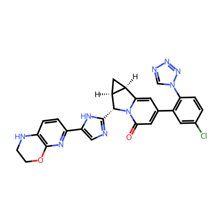 O=c1cc(-c2cc(Cl)ccc2-n2cnnn2)cc2n1[C@H](c1ncc(-c3ccc4c(n3)OCCN4)[nH]1)[C@H]1C[C@@H]21